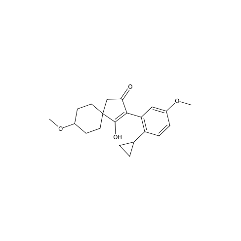 COc1ccc(C2CC2)c(C2=C(O)C3(CCC(OC)CC3)CC2=O)c1